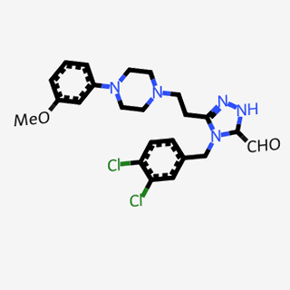 COc1cccc(N2CCN(CCC3=NNC(C=O)N3Cc3ccc(Cl)c(Cl)c3)CC2)c1